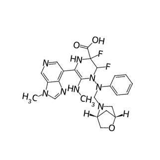 CNC1=C(c2cncc3c2ncn3C)NC(F)(C(=O)O)C(F)N1N(CN1C[C@H]2C[C@@H]1CO2)c1ccccc1